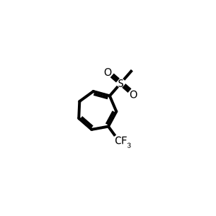 CS(=O)(=O)C1=CCC=CC(C(F)(F)F)=C1